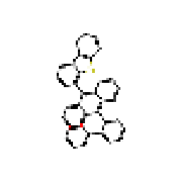 C1=Cc2sc3c(-c4c5ccccc5c(-c5ccccc5-c5ccccc5)c5ccccc45)cccc3c2CC1